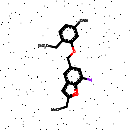 CCOC(=O)Cc1ccc(OC)cc1OCc1cc(I)c2oc(COC)cc2c1